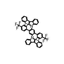 FC(F)(F)c1ccc(-c2cc(-n3c4ccccc4c4c5ccccc5oc43)c(-c3ccc(C(F)(F)F)cc3)cc2-n2c3ccccc3c3c4ccccc4oc32)cc1